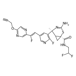 C#CCOc1cnc(/C(F)=C/c2cnc(F)c([C@@]3(C)N=C(N)S[C@@]4(C(=O)NCC(F)F)CC43)c2)cn1